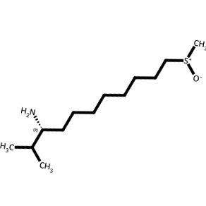 CC(C)[C@H](N)CCCCCCCC[S+](C)[O-]